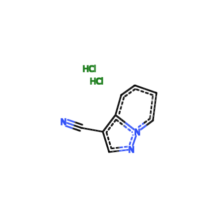 Cl.Cl.N#Cc1cnn2ccccc12